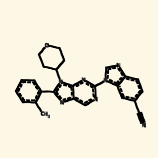 Cc1ccccc1-c1nc2cnc(-n3cnc4ccc(C#N)cc43)nc2n1C1CCOCC1